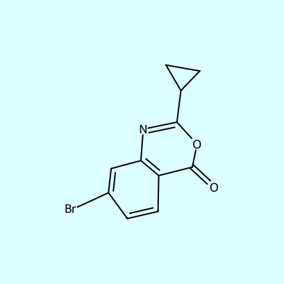 O=c1oc(C2CC2)nc2cc(Br)ccc12